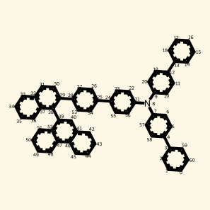 c1ccc(-c2ccc(N(c3ccc(-c4ccccc4)cc3)c3ccc(-c4ccc(-c5ccc6ccccc6c5-c5cc6ccccc6c6ccccc56)cc4)cc3)cc2)cc1